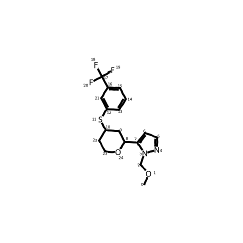 COCn1nccc1C1CC(Sc2cccc(C(F)(F)F)c2)CCO1